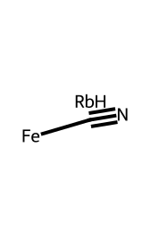 N#[C][Fe].[RbH]